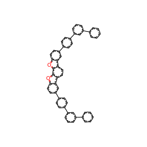 c1ccc(-c2cccc(-c3ccc(-c4ccc5oc6c(ccc7c8cc(-c9ccc(-c%10cccc(-c%11ccccc%11)c%10)cc9)ccc8oc76)c5c4)cc3)c2)cc1